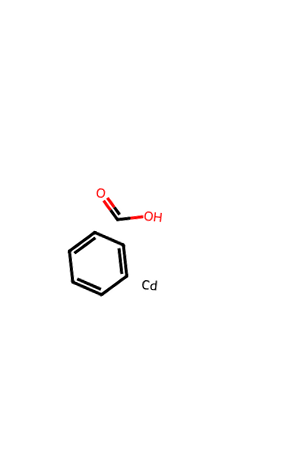 O=CO.[Cd].c1ccccc1